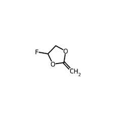 C=C1OCC(F)O1